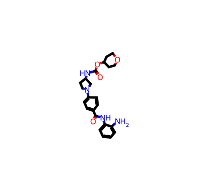 Nc1ccccc1NC(=O)c1ccc(N2CCC(NC(=O)OC3CCOCC3)C2)cc1